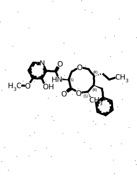 CCC[C@H]1COC[C@H](NC(=O)c2nccc(OC)c2O)C(=O)O[C@@H](C)[C@@H]1Cc1ccccc1